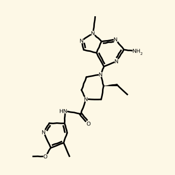 CC[C@H]1CN(C(=O)Nc2cnc(OC)c(C)c2)CCN1c1nc(N)nc2c1cnn2C